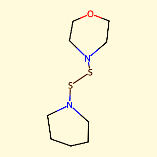 C1CCN(SSN2CCOCC2)CC1